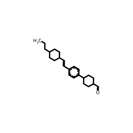 CCCC1CCC(C=Cc2ccc(C3CCC(C=O)CC3)cc2)CC1